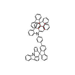 c1ccc(-c2cccc(-c3ccccc3N(c3ccc(-c4ccc5c(c4)C4(c6ccccc6-5)c5ccccc5-n5c6ccccc6c6cccc4c65)cc3)c3ccc4c(c3)C3(c5ccccc5-c5ccccc53)c3ccccc3-4)c2)cc1